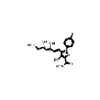 CNC(=O)c1nn(-c2ccc(F)cc2)c(C=C[C@H](O)C[C@@H](O)CC(=O)O)c1C(C)C